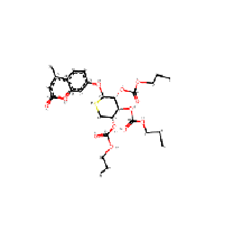 CCCOC(=O)O[C@@H]1[C@@H](OC(=O)OCCC)[C@H](OC(=O)OCCC)CS[C@H]1Oc1ccc2c(C)cc(=O)oc2c1